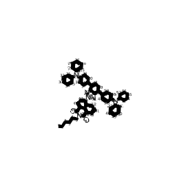 CCCCCCN1C(=O)c2cccc3c(-n4nc5c(-c6ccc(N(c7ccccc7)c7ccccc7)cc6)ccc(-c6ccc(N(c7ccccc7)c7ccccc7)cc6)c5n4)ccc(c23)C1=O